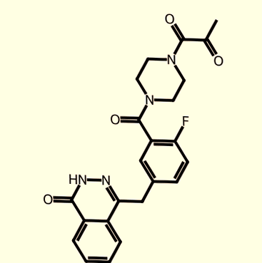 CC(=O)C(=O)N1CCN(C(=O)c2cc(Cc3n[nH]c(=O)c4ccccc34)ccc2F)CC1